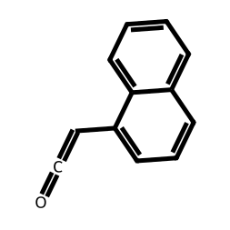 O=C=Cc1cccc2ccccc12